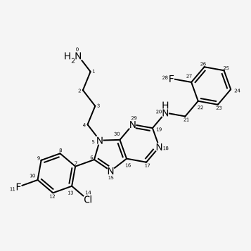 NCCCCn1c(-c2ccc(F)cc2Cl)nc2cnc(NCc3ccccc3F)nc21